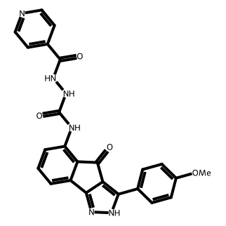 COc1ccc(-c2[nH]nc3c2C(=O)c2c(NC(=O)NNC(=O)c4ccncc4)cccc2-3)cc1